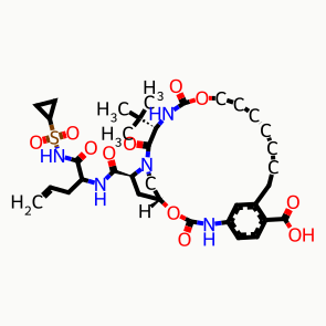 C=CCC(NC(=O)[C@@H]1C[C@@H]2CN1C(=O)[C@H](C(C)(C)C)NC(=O)OCCCCCCCc1cc(ccc1C(=O)O)NC(=O)O2)C(=O)NS(=O)(=O)C1CC1